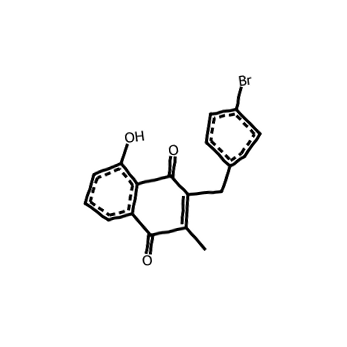 CC1=C(Cc2ccc(Br)cc2)C(=O)c2c(O)cccc2C1=O